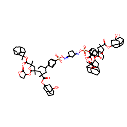 CCC(CC(C)(CC(C)(CC(C)(C)C(=O)OC1(C)C2CC3CC(C2)CC1C3)C(=O)OC1CCOC1=O)C(=O)OC12CC3CC(CC(O)(C3)C1)C2)c1ccc(S(=O)(=O)O/N=C2\CC/C(=N\OS(=O)(=O)c3ccc(C(CC)CC(C)(CC(C)(CC(C)(C)C(=O)OC4(C)C5CC6CC(C5)CC4C6)C(=O)OC4CCOC4=O)C(=O)OC45CC6CC(CC(O)(C6)C4)C5)cc3)C2)cc1